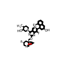 CCc1cccc2cc(O)cc(-c3ncc4c(N5CCC(C)C(O)C5)nc(OC[C@@]56C[C@@H](F)CN7CCCC58CC8C76)nc4c3F)c12